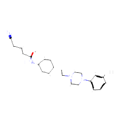 Cc1cccc(N2CCN(CC[C@H]3CC[C@H](NC(=O)CCCC#N)CC3)CC2)c1